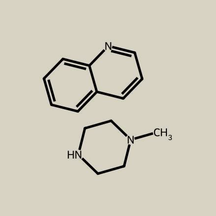 CN1CCNCC1.c1ccc2ncccc2c1